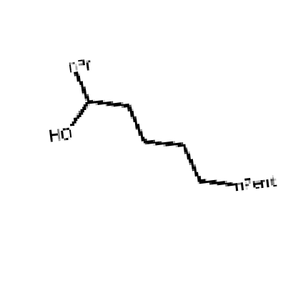 CCCCCCCCCC(O)CCC